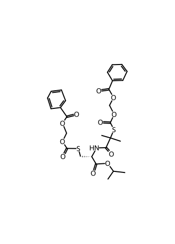 CC(C)OC(=O)[C@H](CSC(=O)OCOC(=O)c1ccccc1)NC(=O)C(C)(C)SC(=O)OCOC(=O)c1ccccc1